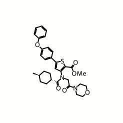 COC(=O)c1sc(-c2ccc(Oc3ccccc3)cc2)cc1N(CC(=O)N1CCOCC1)C(=O)[C@H]1CC[C@H](C)CC1